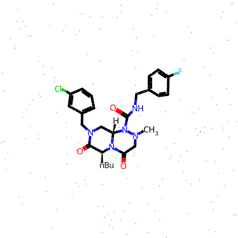 CCCC[C@H]1C(=O)N(Cc2cccc(Cl)c2)C[C@H]2N1C(=O)CN(C)N2C(=O)NCc1ccc(F)cc1